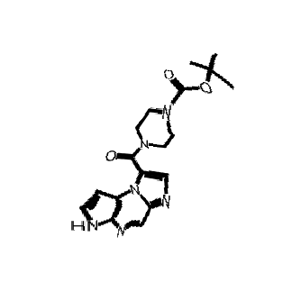 CC(C)(C)OC(=O)N1CCN(C(=O)c2cnc3cnc4[nH]ccc4n23)CC1